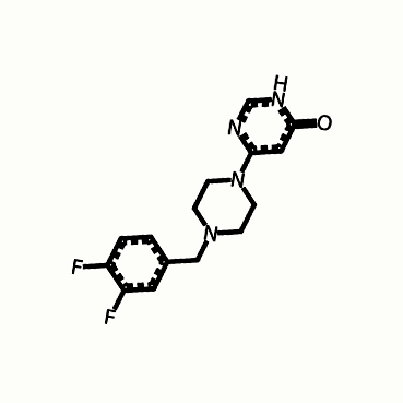 O=c1cc(N2CCN(Cc3ccc(F)c(F)c3)CC2)nc[nH]1